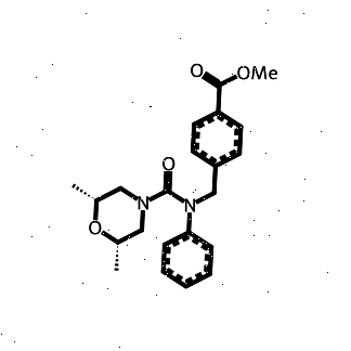 COC(=O)c1ccc(CN(C(=O)N2C[C@@H](C)O[C@@H](C)C2)c2ccccc2)cc1